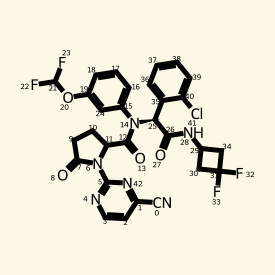 N#Cc1ccnc(N2C(=O)CCC2C(=O)N(c2cccc(OC(F)F)c2)[C@H](C(=O)NC2CC(F)(F)C2)c2ccccc2Cl)n1